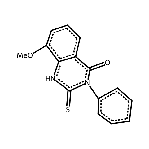 COc1cccc2c(=O)n(-c3ccccc3)c(=S)[nH]c12